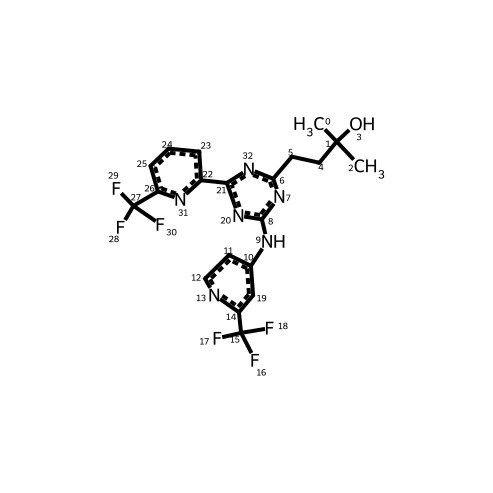 CC(C)(O)CCc1nc(Nc2ccnc(C(F)(F)F)c2)nc(-c2cccc(C(F)(F)F)n2)n1